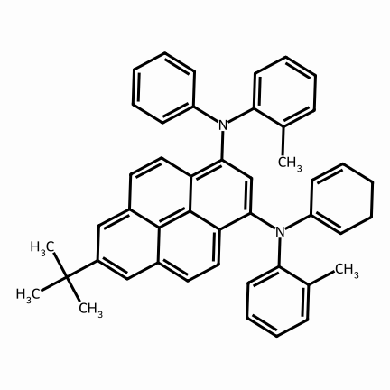 Cc1ccccc1N(C1=CCCC=C1)c1cc(N(c2ccccc2)c2ccccc2C)c2ccc3cc(C(C)(C)C)cc4ccc1c2c43